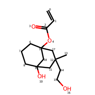 C=CC(=O)OC12CCCC(O)(CC(C)(CCO)C1)C2